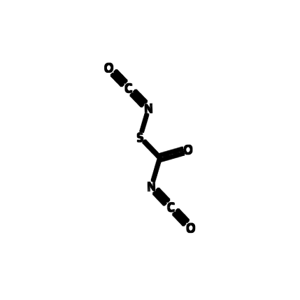 O=C=NSC(=O)N=C=O